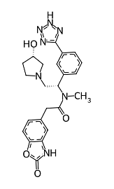 CN(C(=O)Cc1ccc2oc(=O)[nH]c2c1)[C@H](CN1CC[C@H](O)C1)c1cccc(-c2nn[nH]n2)c1